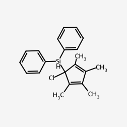 CC1=C(C)C(Cl)([SiH](c2ccccc2)c2ccccc2)C(C)=C1C